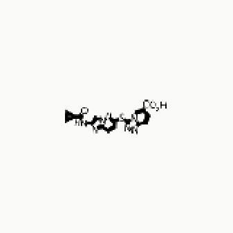 O=C(O)c1ccc2nnc(Sc3ccc4nc(NC(=O)C5CC5)cn4n3)n2c1